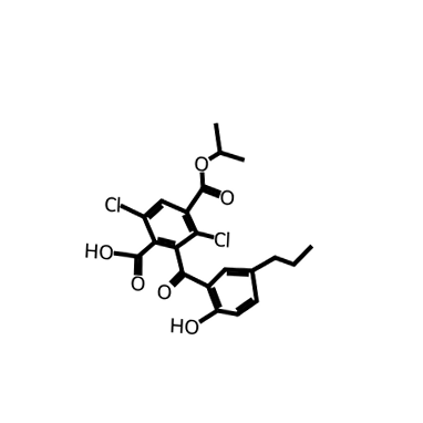 CCCc1ccc(O)c(C(=O)c2c(Cl)c(C(=O)OC(C)C)cc(Cl)c2C(=O)O)c1